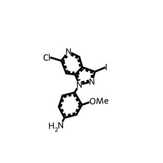 COc1cc(N)ccc1-n1nc(I)c2cnc(Cl)cc21